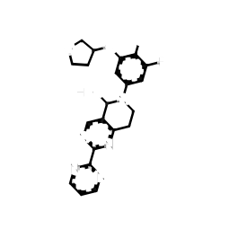 CC1c2cnc(-c3ncccn3)nc2CCN1c1cc(F)c(F)c(OC2CCOC2)c1